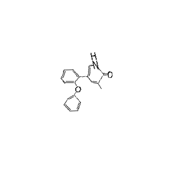 Cc1cc(-c2ccccc2Oc2ccccc2)c[nH]c1=O